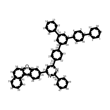 c1ccc(-c2ccc(-c3cc(-c4ccccc4)cc(-c4ccc(-c5cc(-c6ccc7c(c6)oc6ccc8ccccc8c67)nc(-c6ccccc6)n5)cc4)c3)cc2)cc1